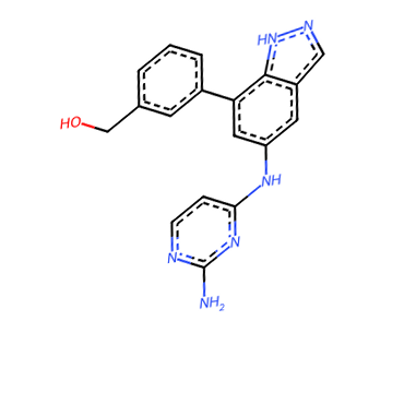 Nc1nccc(Nc2cc(-c3cccc(CO)c3)c3[nH]ncc3c2)n1